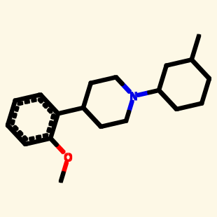 COc1ccccc1C1CCN(C2CCCC(C)C2)CC1